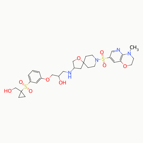 CN1CCOc2cc(S(=O)(=O)N3CCC4(CC3)CC(NCC(O)COc3cccc(S(=O)(=O)C5(CO)CC5)c3)CO4)cnc21